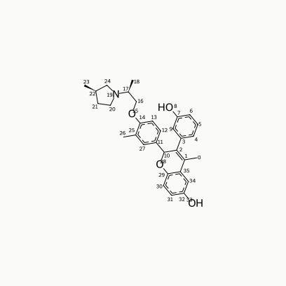 CC1=C(c2cccc(O)c2)C(c2ccc(OC[C@H](C)N3CC[C@@H](C)C3)c(C)c2)Oc2ccc(O)cc21